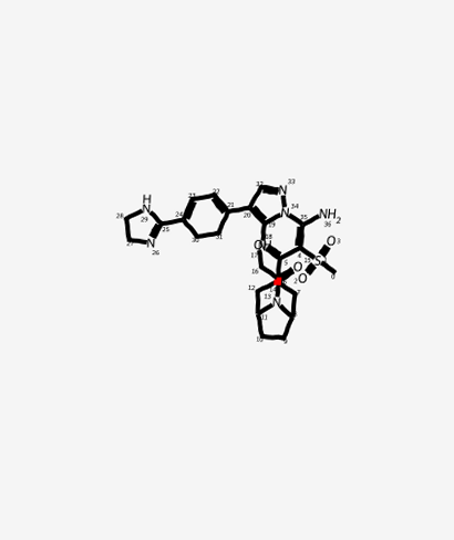 CS(=O)(=O)c1c(C2CC3CCC(C2)N3C(=O)CO)nc2c(C3=CC=C(C4=NCCN4)CC3)cnn2c1N